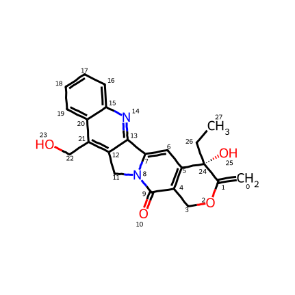 C=C1OCc2c(cc3n(c2=O)Cc2c-3nc3ccccc3c2CO)[C@@]1(O)CC